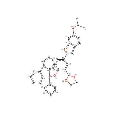 CC(C)Oc1ccc2cc(-c3ccc(OC(c4ccccc4)(c4ccccc4)c4ccccc4)c(C4OCCO4)c3)sc2c1